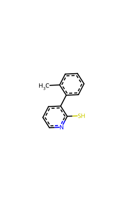 Cc1ccccc1-c1cccnc1S